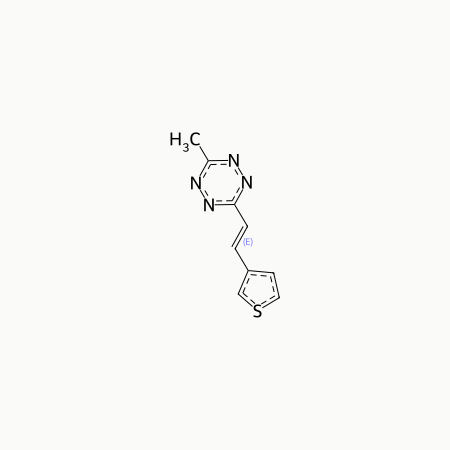 Cc1nnc(/C=C/c2ccsc2)nn1